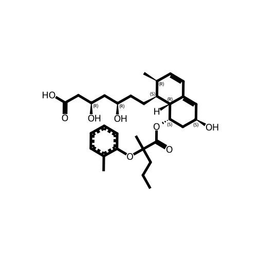 CCCC(C)(Oc1ccccc1C)C(=O)O[C@H]1C[C@H](O)C=C2C=C[C@H](C)[C@H](CC[C@@H](O)C[C@@H](O)CC(=O)O)[C@H]21